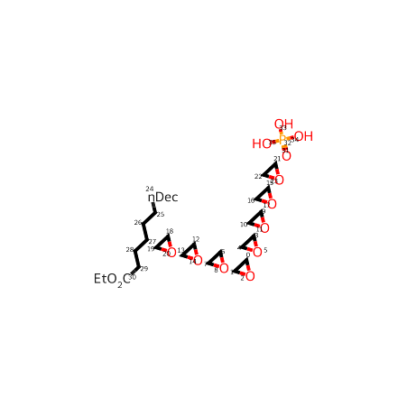 C1CO1.C1CO1.C1CO1.C1CO1.C1CO1.C1CO1.C1CO1.C1CO1.CCCCCCCCCCCCCCCC(=O)OCC.O=P(O)(O)O